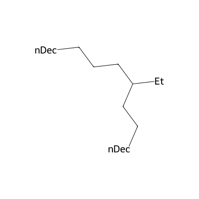 [CH2]CCCCCCCCCCCCC(CC)CCCCCCCCCCC[CH2]